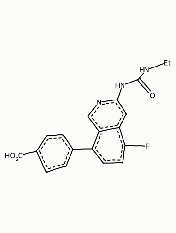 CCNC(=O)Nc1cc2c(F)ccc(-c3ccc(C(=O)O)cc3)c2cn1